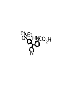 CCN(CC)C(=O)c1ccc(C(=C2CCN(C)CC2)c2cccc(NC(=O)O)c2)cc1